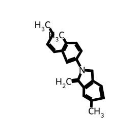 C=C1c2cc(C)ccc2CN1c1ccc(C)c(/C=C\CC)c1